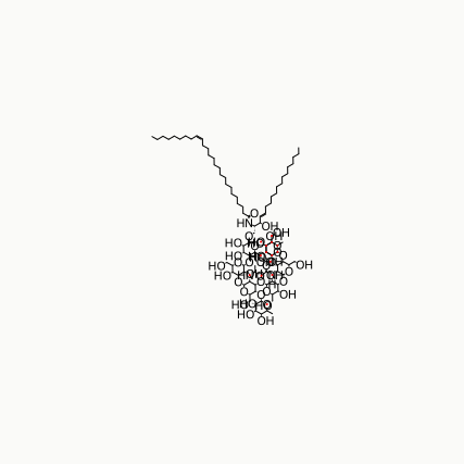 CCCCCCCC/C=C\CCCCCCCCCCCCCCCC(=O)N[C@@H](CO[C@@H]1OC(CO)[C@@H](O[C@@H]2OC(CO)[C@H](O)[C@H](O[C@@H]3OC(CO)[C@@H](O[C@H]4OC(C)[C@@H](O)C(O)[C@@H]4O)[C@H](O[C@@H]4OC(CO)[C@H](O)[C@H](O[C@@H]5OC(CO)[C@@H](O[C@@H]6OC(CO)[C@H](O)[C@H](O)C6O)[C@H](O[C@H]6OC(C)[C@@H](O)C(O)[C@@H]6O)C5NC(C)=O)C4O)C3NC(C)=O)C2O)[C@H](O)C1O)[C@H](O)/C=C/CCCCCCCCCCCCC